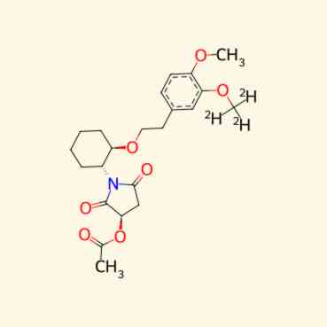 [2H]C([2H])([2H])Oc1cc(CCO[C@@H]2CCCC[C@H]2N2C(=O)C[C@@H](OC(C)=O)C2=O)ccc1OC